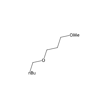 CCCCCOCCCOC